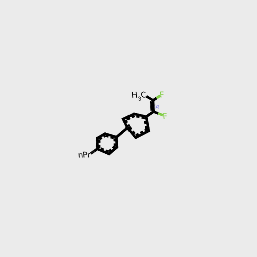 CCCc1ccc(-c2ccc(/C(F)=C(\C)F)cc2)cc1